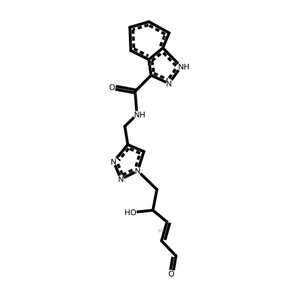 O=C/C=C/C(O)Cn1cc(CNC(=O)c2n[nH]c3ccccc23)nn1